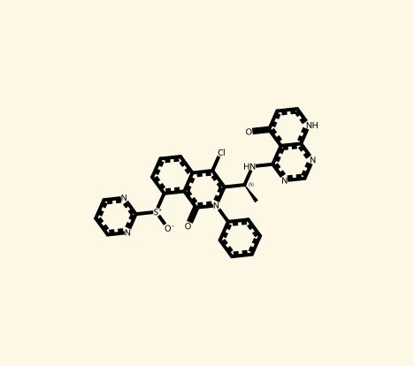 C[C@H](Nc1ncnc2[nH]ccc(=O)c12)c1c(Cl)c2cccc([S+]([O-])c3ncccn3)c2c(=O)n1-c1ccccc1